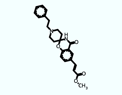 COC(=O)/C=C/c1ccc2c(c1)C(=O)NC1(CCN(CCc3ccccc3)CC1)O2